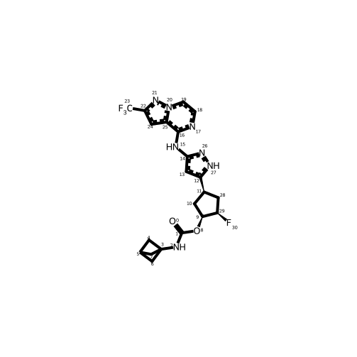 O=C(NC12CC(C1)C2)O[C@H]1C[C@@H](c2cc(Nc3nccn4nc(C(F)(F)F)cc34)n[nH]2)C[C@H]1F